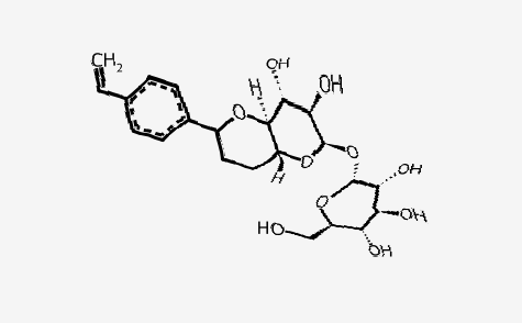 C=Cc1ccc(C2CC[C@H]3O[C@H](O[C@H]4O[C@H](CO)[C@@H](O)[C@H](O)[C@H]4O)[C@H](O)[C@@H](O)[C@@H]3O2)cc1